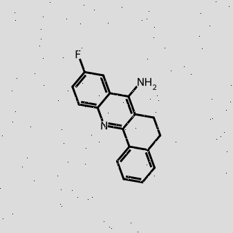 Nc1c2c(nc3ccc(F)cc13)-c1ccccc1CC2